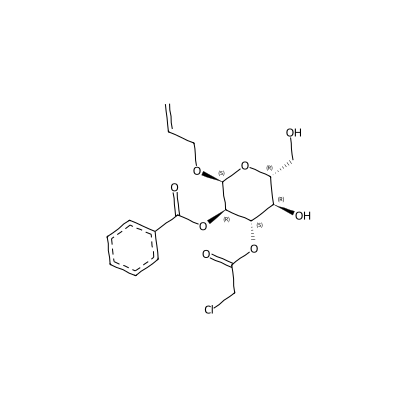 C=CCO[C@H]1O[C@H](CO)[C@@H](O)[C@H](OC(=O)CCl)[C@H]1OC(=O)c1ccccc1